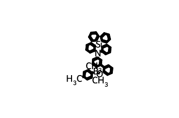 Cc1cc(C)c(B2Oc3ccccc3-c3cc(N4c5ccccc5[Si](c5ccccc5)(c5ccccc5)c5ccccc54)ccc32)c(C)c1